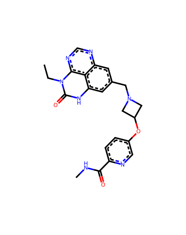 CCN1C(=O)Nc2cc(CN3CC(Oc4ccc(C(=O)NC)nc4)C3)cc3ncnc1c23